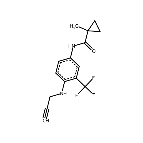 C#CCNc1ccc(NC(=O)C2(C)CC2)cc1C(F)(F)F